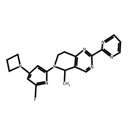 CC1c2cnc(-c3ncccn3)nc2CCN1c1cc(N2CCC2)cc(F)n1